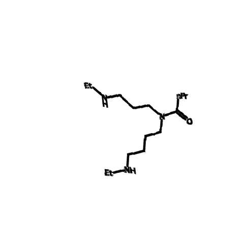 CCCC(=O)N(CCCCNCC)CCCNCC